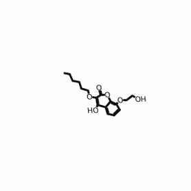 CCCCCCOc1c(O)c2cccc(OCCO)c2oc1=O